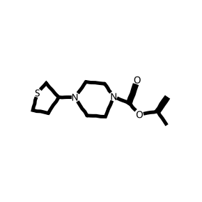 C=C(C)OC(=O)N1CCN(C2CCSC2)CC1